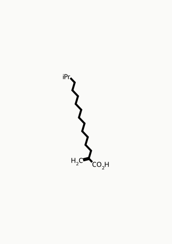 C=C(CCCCCCCCCCCC(C)C)C(=O)O